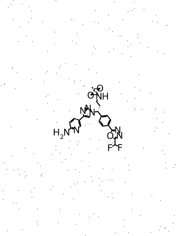 CS(=O)(=O)NCC[C@H](c1ccc(-c2nnc(C(F)F)o2)cc1)n1cc(-c2ccc(N)nc2)nn1